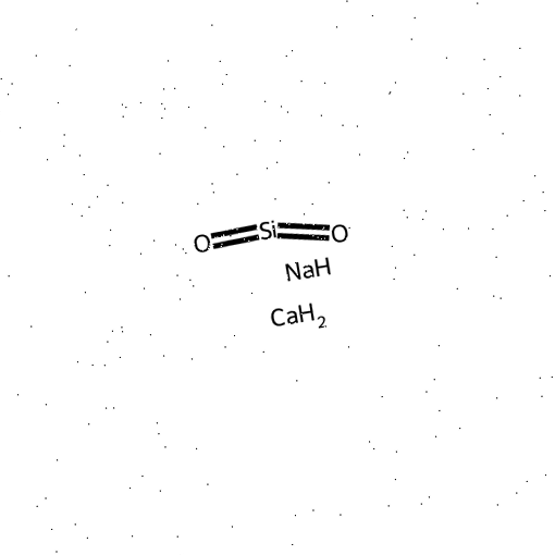 O=[Si]=O.[CaH2].[NaH]